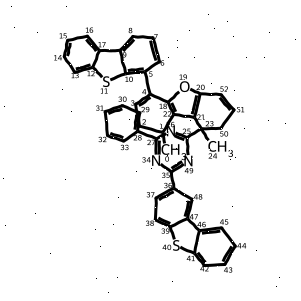 CC1CC=C(c2cccc3c2sc2ccccc23)c2oc3c(c21)C(C)(c1nc(-c2ccccc2)nc(-c2ccc4sc5ccccc5c4c2)n1)CC=C3